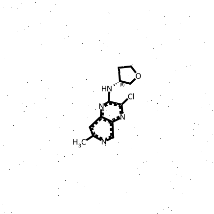 Cc1cc2nc(N[C@@H]3CCOC3)c(Cl)nc2cn1